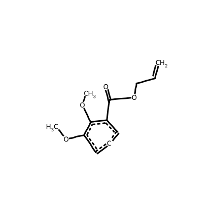 C=CCOC(=O)c1cccc(OC)c1OC